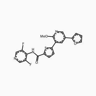 COc1ncc(-c2ccco2)cc1-c1ccc(C(=O)Nc2c(F)cncc2F)s1